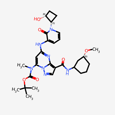 CO[C@@H]1CCCC(NC(=O)c2cnn3c(N(C)C(=O)OC(C)(C)C)cc(Nc4cccn([C@H]5CC[C@H]5O)c4=O)nc23)C1